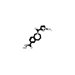 Cn1ccc(C(=O)N2CCCc3cc(C(=O)NO)ccc3C2)n1